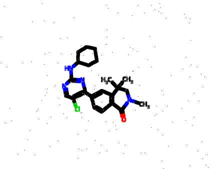 CN1CC(C)(C)c2cc(-c3nc(NC4CCCCC4)ncc3Cl)ccc2C1=O